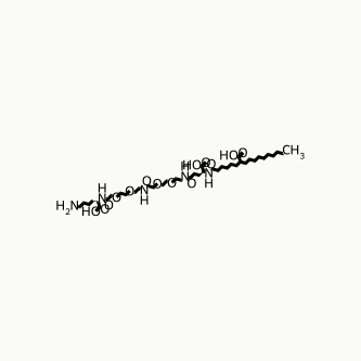 CCCCCCCCCCC(CCCCCC(=O)N[C@@H](CCC(=O)NCCOCCOCC(=O)NCCOCCOCC(=O)N[C@@H](CCCCN)C(=O)O)C(=O)O)C(=O)O